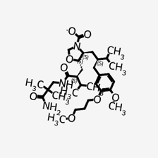 COCCCOc1cc(C[C@@H](C[C@H]2[C@H](C[C@H](C(=O)NCC(C)(C)C(N)=O)C(C)C)OCN2C([O])=O)C(C)C)ccc1OC